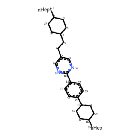 CCCCCCCC1CCC(CCc2cnc(-c3ccc(C4CCC(CCCCCC)CC4)cc3)nc2)CC1